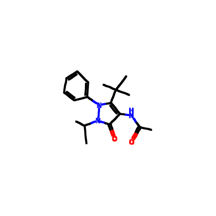 CC(=O)Nc1c(C(C)(C)C)n(-c2ccccc2)n(C(C)C)c1=O